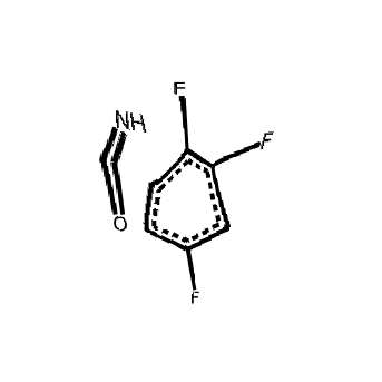 Fc1ccc(F)c(F)c1.N=C=O